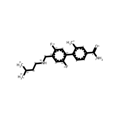 Cc1cc(C(N)=O)ccc1-c1cc(F)c(CNCCC(C)C)cc1F